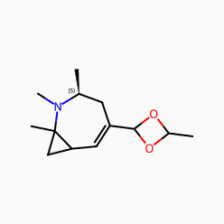 CC1OC(C2=CC3CC3(C)N(C)[C@@H](C)C2)O1